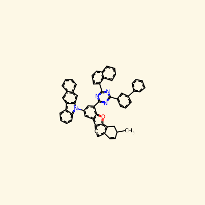 CC1C=Cc2ccc3c(oc4c(-c5nc(-c6cccc(-c7ccccc7)c6)nc(-c6cccc7ccccc67)n5)cc(-n5c6ccccc6c6cc7ccccc7cc65)cc43)c2C1